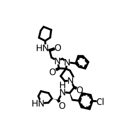 O=C(CN1CN(c2ccccc2)C2(CCN(C(=O)[C@@H](Cc3ccc(Cl)cc3)NC(=O)[C@H]3CCCNC3)CC2)C1=O)NC1CCCCC1